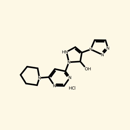 Cl.OC1C(n2ccnn2)=CNN1c1cc(N2CCCCC2)ncn1